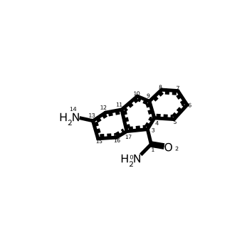 NC(=O)c1c2ccccc2cc2cc(N)ccc12